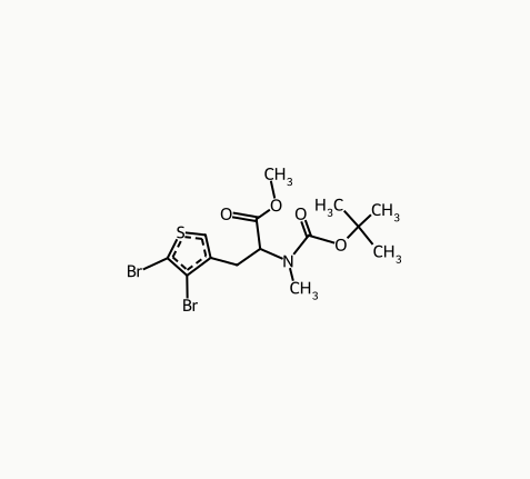 COC(=O)C(Cc1csc(Br)c1Br)N(C)C(=O)OC(C)(C)C